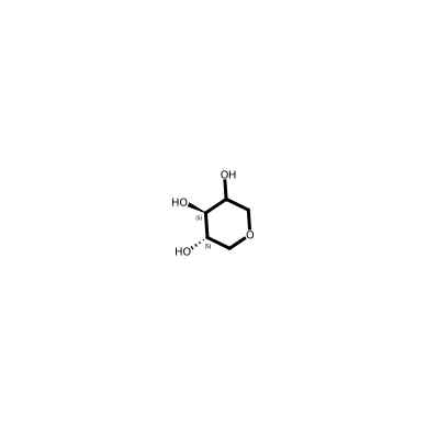 O[C]1COC[C@H](O)[C@H]1O